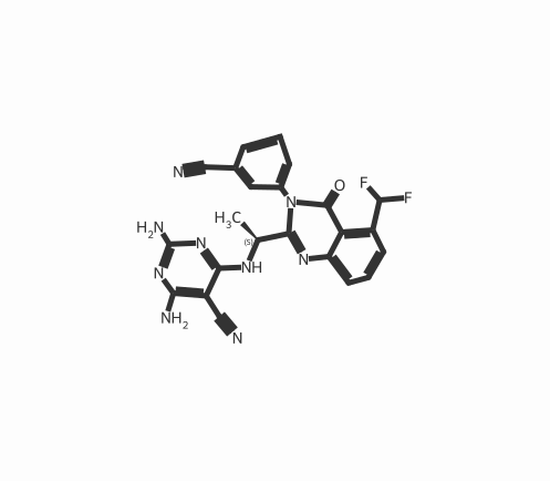 C[C@H](Nc1nc(N)nc(N)c1C#N)c1nc2cccc(C(F)F)c2c(=O)n1-c1cccc(C#N)c1